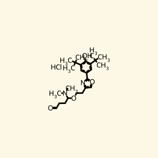 CN(C)C(CCC=O)OCCc1coc(-c2cc(C(C)(C)C)c(O)c(C(C)(C)C)c2)n1.Cl